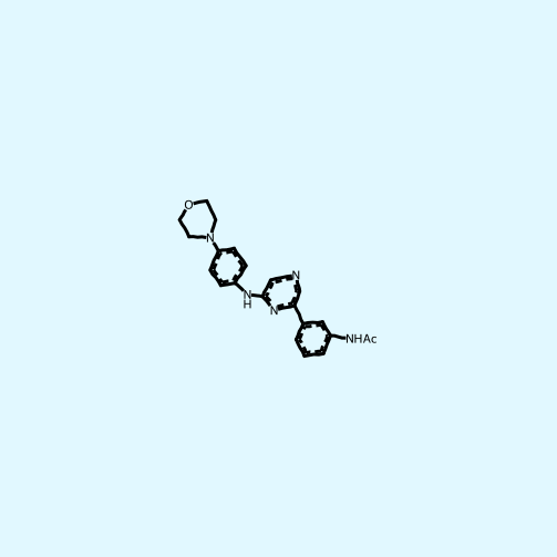 CC(=O)Nc1cccc(-c2cncc(Nc3ccc(N4CCOCC4)cc3)n2)c1